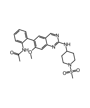 COc1cc2nc(NC3CCN(S(C)(=O)=O)CC3)ncc2cc1-c1ccccc1NC(C)=O